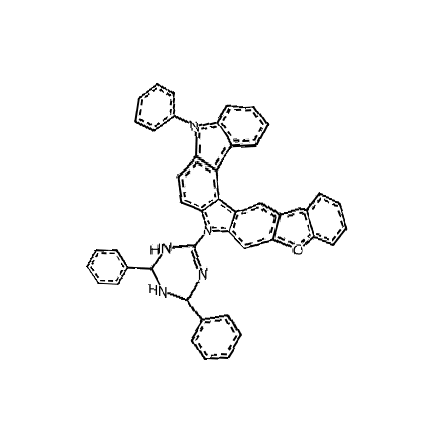 c1ccc(C2N=C(n3c4cc5oc6ccccc6c5cc4c4c5c6ccccc6n(-c6ccccc6)c5ccc43)NC(c3ccccc3)N2)cc1